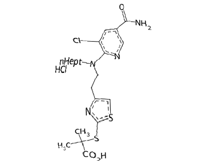 CCCCCCCN(CCc1csc(SC(C)(C)C(=O)O)n1)c1ncc(C(N)=O)cc1Cl.Cl